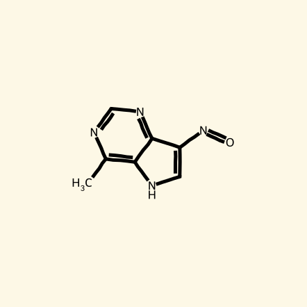 Cc1ncnc2c(N=O)c[nH]c12